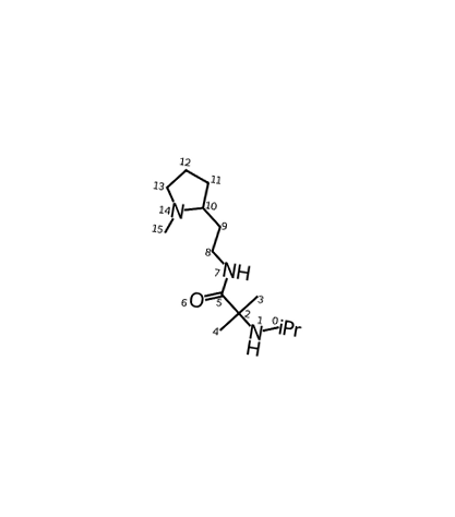 CC(C)NC(C)(C)C(=O)NCCC1CCCN1C